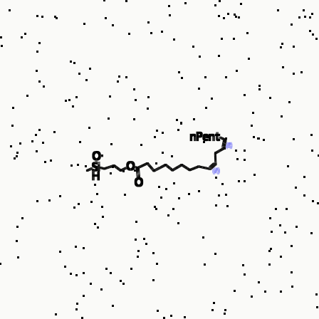 CCCCC/C=C\C/C=C\CCCCCCCC(=O)OCCC[SiH](C)[O]